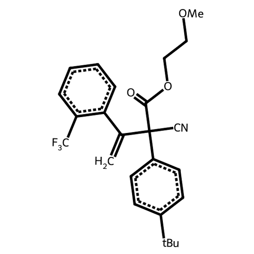 C=C(c1ccccc1C(F)(F)F)C(C#N)(C(=O)OCCOC)c1ccc(C(C)(C)C)cc1